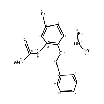 CCCNC(C)CC.CCc1ccc(OCc2ccccc2)c(NC(=O)NC)c1